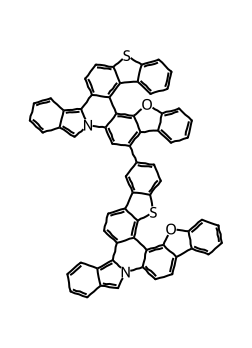 c1ccc2c(c1)cn1c3ccc4c5ccccc5oc4c3c3c(ccc4c5cc(-c6cc7c(c8oc9ccccc9c68)c6c(ccc8sc9ccccc9c86)c6c8ccccc8cn76)ccc5sc43)c21